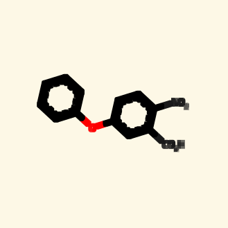 O=C(O)c1cc(Oc2ccccc2)ccc1[N+](=O)[O-]